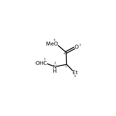 CCC(N[C]=O)C(=O)OC